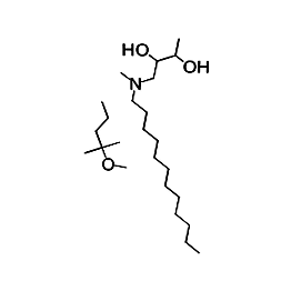 CCCC(C)(C)OC.CCCCCCCCCCCCN(C)CC(O)C(C)O